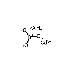 [AlH3].[Gd+3].[O-]B([O-])[O-]